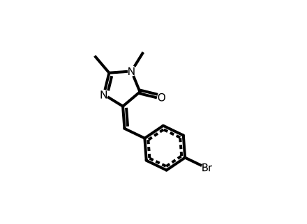 CC1=NC(=Cc2ccc(Br)cc2)C(=O)N1C